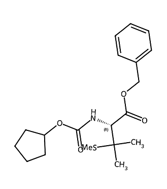 CSC(C)(C)[C@H](NC(=O)OC1CCCC1)C(=O)OCc1ccccc1